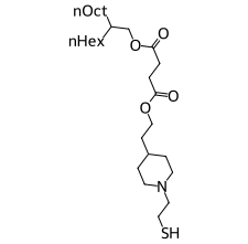 CCCCCCCCC(CCCCCC)COC(=O)CCC(=O)OCCC1CCN(CCS)CC1